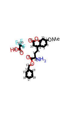 COc1ccc2c(CC[C@H](N)C(=O)OCc3ccccc3)cc(=O)oc2c1.O=C(O)C(F)(F)F